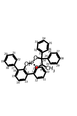 CC1OP(Oc2c(-c3ccccc3)cccc2-c2ccccc2)OC1(c1ccccc1)c1ccccc1